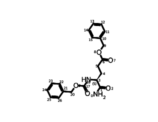 NC(=O)[C@H](CCC(=O)OCc1ccccc1)NC(=O)OCc1ccccc1